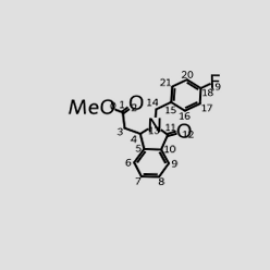 COC(=O)CC1c2ccccc2C(=O)N1Cc1ccc(F)cc1